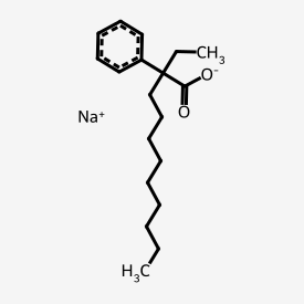 CCCCCCCCCC(CC)(C(=O)[O-])c1ccccc1.[Na+]